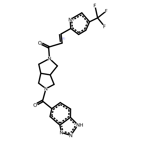 O=C(/C=C/c1ccc(C(F)(F)F)cn1)N1CC2CN(C(=O)c3ccc4[nH]nnc4c3)CC2C1